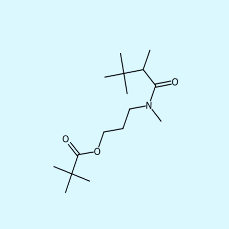 CC(C(=O)N(C)CCCOC(=O)C(C)(C)C)C(C)(C)C